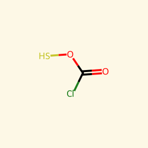 O=C(Cl)OS